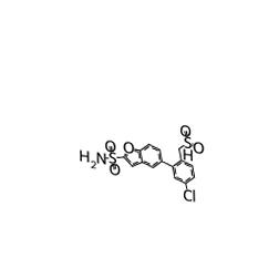 NS(=O)(=O)c1cc2cc(-c3cc(Cl)ccc3C[SH](=O)=O)ccc2o1